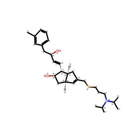 Cc1cccc(C[C@@H](O)/C=C/[C@@H]2[C@H]3CC(CSCCCN(C(C)C)C(C)C)=C[C@H]3C[C@H]2O)c1